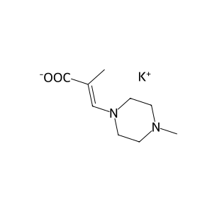 CC(=CN1CCN(C)CC1)C(=O)[O-].[K+]